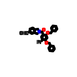 CC(C)c1cc(C(=O)N2Cc3ccc(C=O)cc3C2)c(OCc2ccccc2)cc1OCc1ccccc1